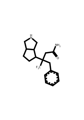 NC(=O)CC(Cc1ccccc1)(C1CCC2CNCC21)C(F)(F)F